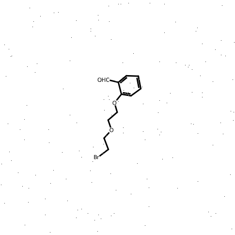 O=Cc1ccccc1OCCOCCBr